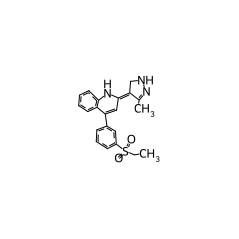 CCS(=O)(=O)c1cccc(C2=CC(=C3CNN=C3C)Nc3ccccc32)c1